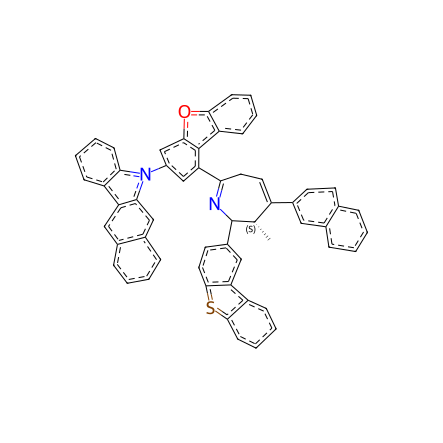 C[C@H]1C(c2ccc3ccccc3c2)=CCC(c2cc(-n3c4ccccc4c4cc5ccccc5cc43)cc3oc4ccccc4c23)=NC1c1ccc2sc3ccccc3c2c1